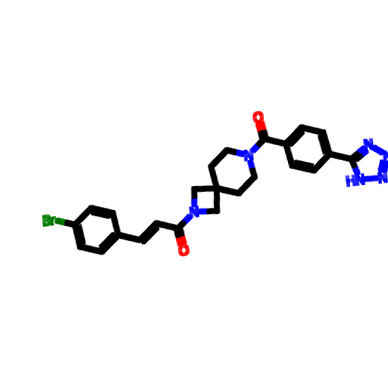 O=C(C=Cc1ccc(Br)cc1)N1CC2(CCN(C(=O)c3ccc(-c4nnn[nH]4)cc3)CC2)C1